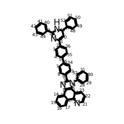 C1=C(c2ccc(-c3ccc(-c4nc5c6ccccc6c6ncccc6c5n4-c4ccccc4)cc3)cc2)N=C(c2ccccc2)NC1c1ccccc1